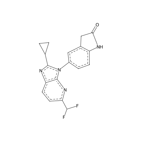 O=C1Cc2cc(-n3c(C4CC4)nc4ccc(C(F)F)nc43)ccc2N1